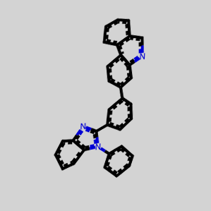 c1ccc(-n2c(-c3cccc(-c4ccc5c(c4)ncc4ccccc45)c3)nc3ccccc32)cc1